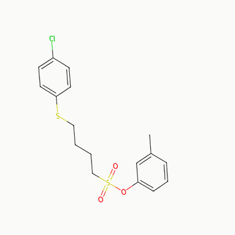 Cc1cccc(OS(=O)(=O)CCCCSc2ccc(Cl)cc2)c1